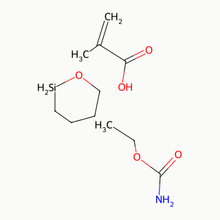 C1CC[SiH2]OC1.C=C(C)C(=O)O.CCOC(N)=O